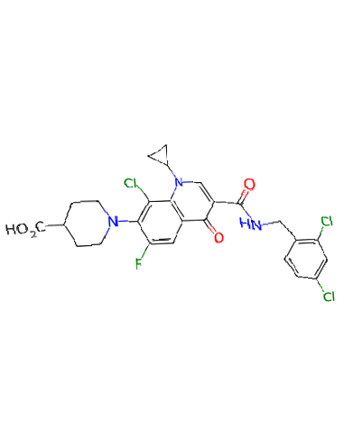 O=C(NCc1ccc(Cl)cc1Cl)c1cn(C2CC2)c2c(Cl)c(N3CCC(C(=O)O)CC3)c(F)cc2c1=O